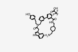 NCC1CCC(CNC(=O)c2cccc(-c3cccc(CN(CCc4ccc(O)cc4)C(=O)Cc4c[nH]c5ccccc45)c3)c2)CC1.O=C(O)C(F)(F)F